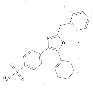 NS(=O)(=O)c1ccc(-c2nc(Cc3ccccc3)oc2C2=CCCCC2)cc1